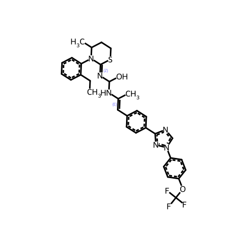 CCc1ccccc1N1/C(=N/C(O)N/C(C)=C/c2ccc(-c3ncn(-c4ccc(OC(F)(F)F)cc4)n3)cc2)SCCC1C